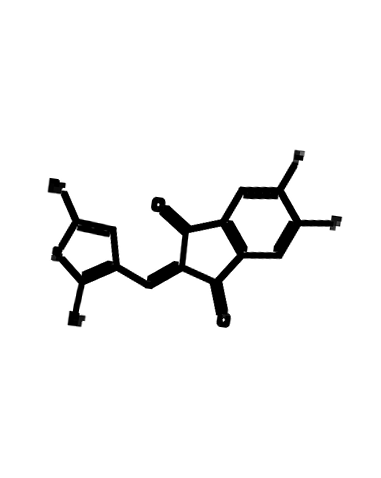 O=C1C(=Cc2cc(Br)sc2Br)C(=O)c2cc(F)c(F)cc21